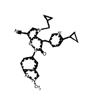 Cn1cc2cc(-n3nc4c(C#N)cn(CC5CC5)c4c(-c4ccc(C5CC5)nc4)c3=O)ccc2n1